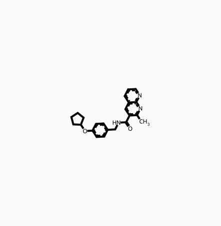 Cc1nc2ncccc2cc1C(=O)NCc1ccc(OC2CCCC2)cc1